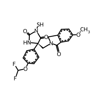 COc1ccc2c(c1)C(=O)N(C[C@@]1(c3ccc(OC(F)F)cc3)NC(=O)N(S)C1=O)C2